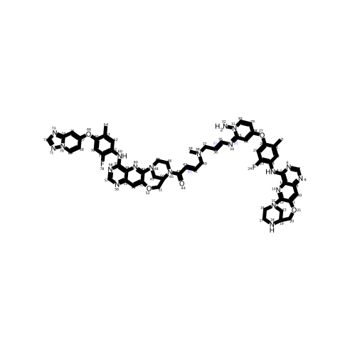 Cc1cc(Nc2ncnc3cc4c(nc23)N2CCNC(CO4)C2)c(F)cc1Oc1ccn(N)/c(=N\C=C\CN(C)C/C=C/C(=O)N2CCN3CC2COc2cc4ncnc(Nc5cc(C)c(Oc6ccn7ncnc7c6)cc5F)c4nc23)c1